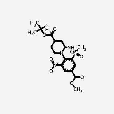 COC(=O)c1cc([N+](=O)[O-])c(N2CCC(C(=O)OC(C)(C)C)CC2N)c(S(C)(=O)=O)c1